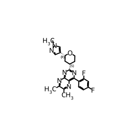 Cc1nc2nc([C@H]3CCO[C@@H](c4cnn(C)c4)C3)nc(-c3ccc(F)cc3F)c2nc1C